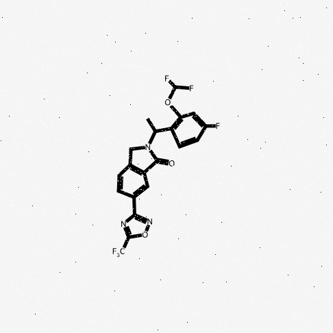 CC(c1ccc(F)cc1OC(F)F)N1Cc2ccc(-c3noc(C(F)(F)F)n3)cc2C1=O